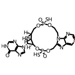 O=c1[nH]cnc2c1ncn2[C@@H]1O[C@@H]2COP(=O)(S)OCCn3c(nc4cncnc43)COP(=O)(S)O[C@@H]1[C@@H]2O